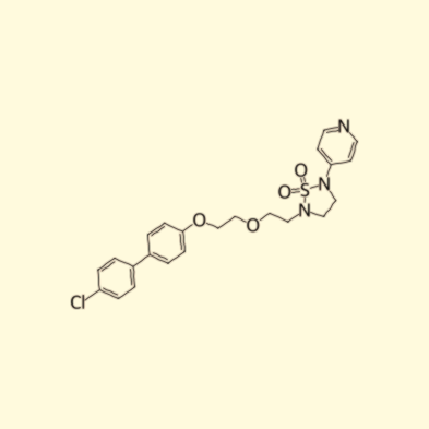 O=S1(=O)N(CCOCCOc2ccc(-c3ccc(Cl)cc3)cc2)CCN1c1ccncc1